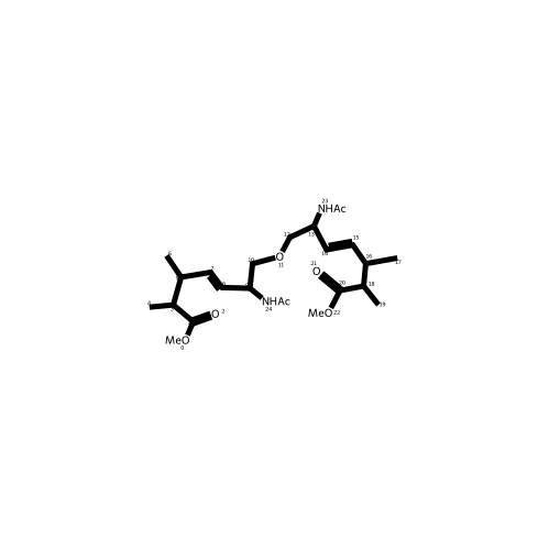 COC(=O)C(C)C(C)/C=C/C(COCC(/C=C/C(C)C(C)C(=O)OC)NC(C)=O)NC(C)=O